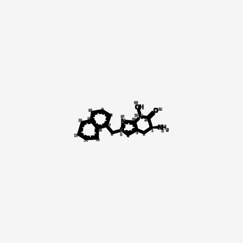 N[C@H]1Cc2cn(Cc3cccc4ccccc34)nc2N(O)C1=O